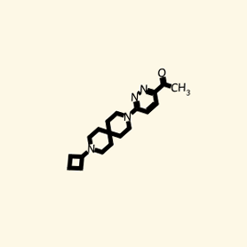 CC(=O)c1ccc(N2CCC3(CC2)CCN(C2CCC2)CC3)nn1